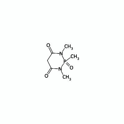 CN1C(=O)CC(=O)N(C)P1(C)=O